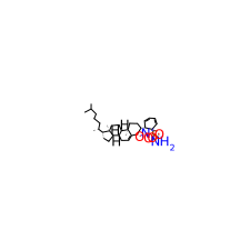 CC(C)CCC[C@@H](C)[C@H]1CC[C@H]2[C@@H]3CC=C4C[C@@H](C5([N+](=O)[O-])C=CC=CC5S(N)(=O)=O)CC[C@]4(C)[C@H]3CC[C@]12C